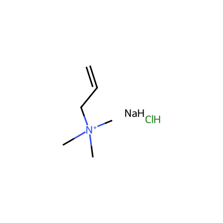 C=CC[N+](C)(C)C.Cl.[NaH]